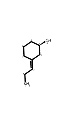 CC/C=C1\CCC[C@@H](O)C1